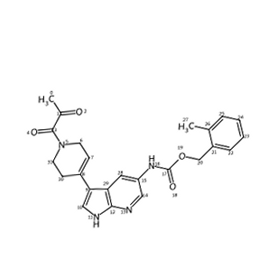 CC(=O)C(=O)N1CC=C(c2c[nH]c3ncc(NC(=O)OCc4ccccc4C)cc23)CC1